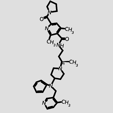 Cc1ccncc1CN(c1ccccc1)C1CCN([C@H](C)CCNC(=O)c2c(C)cc(C(=O)N3CCCC3)nc2C)CC1